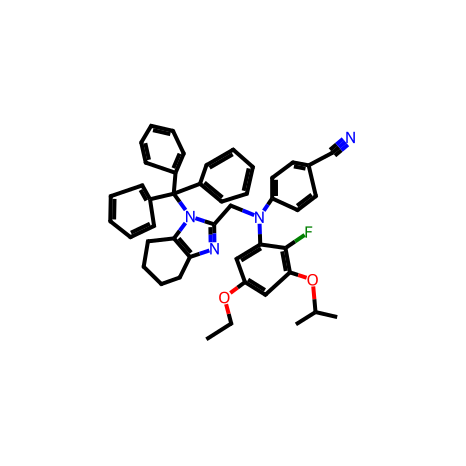 CCOc1cc(OC(C)C)c(F)c(N(Cc2nc3c(n2C(c2ccccc2)(c2ccccc2)c2ccccc2)CCCC3)c2ccc(C#N)cc2)c1